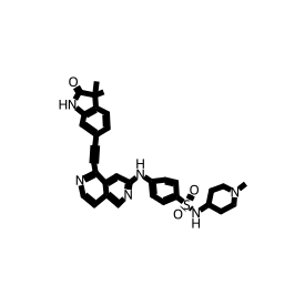 CN1CCC(NS(=O)(=O)c2ccc(Nc3cc4c(C#Cc5ccc6c(c5)NC(=O)C6(C)C)nccc4cn3)cc2)CC1